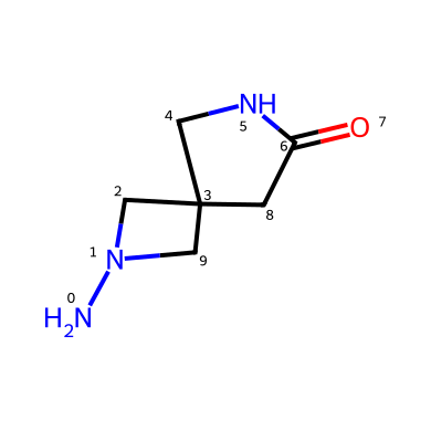 NN1CC2(CNC(=O)C2)C1